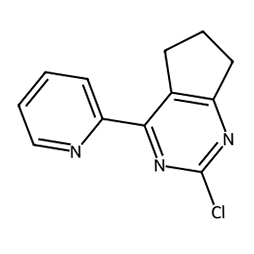 Clc1nc2c(c(-c3ccccn3)n1)CCC2